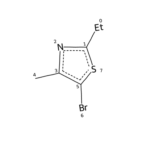 CCc1nc(C)c(Br)s1